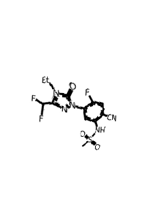 CCn1c(C(F)F)nn(-c2cc(NS(C)(=O)=O)c(C#N)cc2F)c1=O